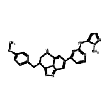 COc1ccc(CC2CNc3cc(-c4ccnc(Nc5ccnn5C)n4)cc4nnc2n34)cc1